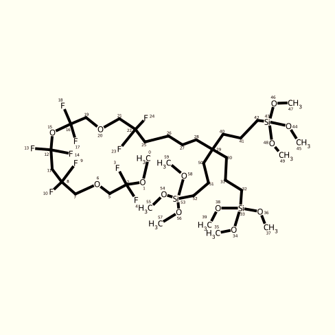 COC(F)(F)COCC(F)(F)CC(F)(F)OC(F)(F)COCC(F)(F)CCCCC(CCC[Si](OC)(OC)OC)(CCC[Si](OC)(OC)OC)CCC[Si](OC)(OC)OC